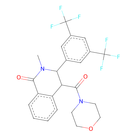 CN1C(=O)c2ccccc2C(C(=O)N2CCOCC2)C1c1cc(C(F)(F)F)cc(C(F)(F)F)c1